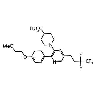 COCCOc1ccc(-c2ncc(CCC(F)(F)C(F)(F)F)nc2N2CCC(C(=O)O)CC2)cc1